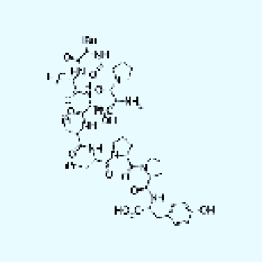 CC[C@H](C)[C@H](NC(=O)[C@@H]1CCCN1C(=O)[C@H](C)N)C(=O)N[C@@H](C)C(=O)N[C@@H](CO)C(=O)N[C@@H](CC(C)C)C(=O)N[C@@H](CC(C)C)C(=O)N1CCC[C@H]1C(=O)N1CCC[C@H]1C(=O)N[C@@H](Cc1ccc(O)cc1)C(=O)O